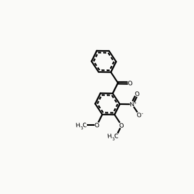 COc1ccc(C(=O)c2ccccc2)c([N+](=O)[O-])c1OC